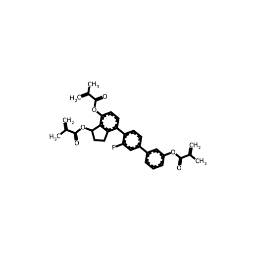 C=C(C)C(=O)Oc1cccc(-c2ccc(-c3ccc(OC(=O)C(=C)C)c4c3CCC4OC(=O)C(=C)C)c(F)c2)c1